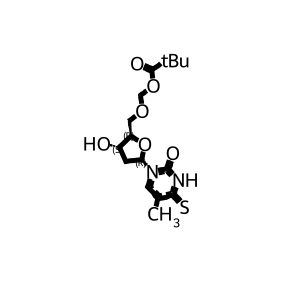 Cc1cn([C@H]2C[C@H](O)[C@@H](COCOC(=O)C(C)(C)C)O2)c(=O)[nH]c1=S